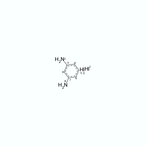 I.I.Nc1cccc(N)c1